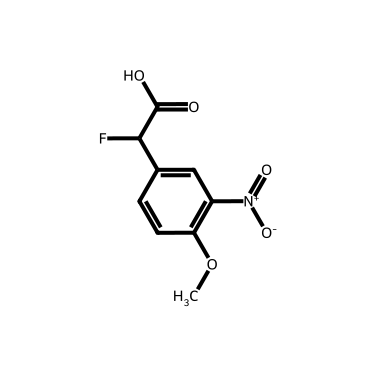 COc1ccc(C(F)C(=O)O)cc1[N+](=O)[O-]